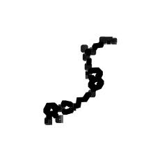 COCCOC(=O)OCOc1ccc2ccc(OCCCCN3CCN(c4cccc(Cl)c4Cl)CC3)cc2n1